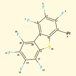 CC(C)c1c(F)c(F)c(F)c2c1sc1c(F)c(F)c(F)c(F)c12